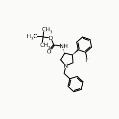 CC(C)(C)OC(=O)N[C@H]1CN(Cc2ccccc2)C[C@@H]1c1ccccc1F